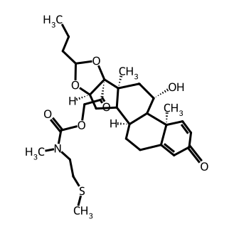 CCCC1O[C@@H]2CC3[C@@H]4CCC5=CC(=O)C=C[C@]5(C)C4[C@@H](O)C[C@]3(C)[C@]2(C(=O)COC(=O)N(C)CCSC)O1